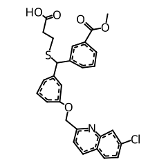 COC(=O)c1cccc(C(SCCC(=O)O)c2cccc(OCc3ccc4ccc(Cl)cc4n3)c2)c1